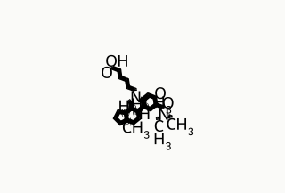 CCN(CC)C(=O)C1C[C@@]2(C)C(=CC1=O)N(CCCCCC(=O)O)C[C@@H]1[C@H]2CC[C@]2(C)CCC[C@@H]12